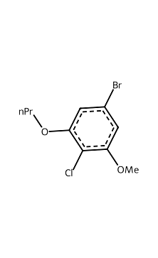 CCCOc1cc(Br)cc(OC)c1Cl